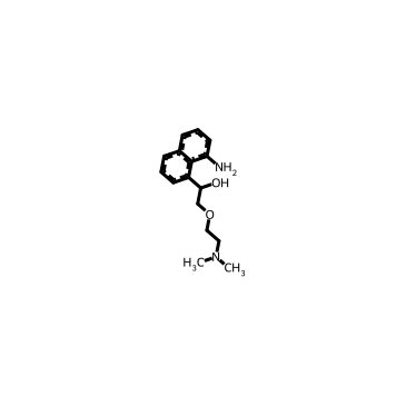 CN(C)CCOCC(O)c1cccc2cccc(N)c12